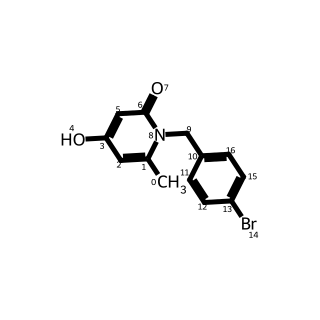 Cc1cc(O)cc(=O)n1Cc1ccc(Br)cc1